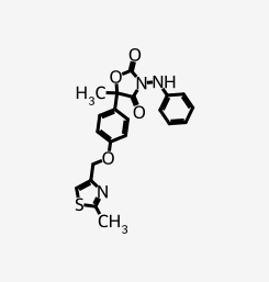 Cc1nc(COc2ccc(C3(C)OC(=O)N(Nc4ccccc4)C3=O)cc2)cs1